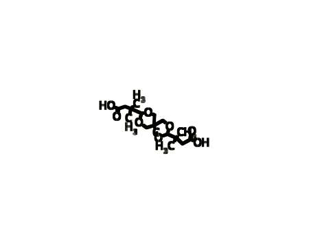 CC(C)(CC(=O)O)C1OCC2(CO1)COC(C(C)(C)CC(=O)O)OC2